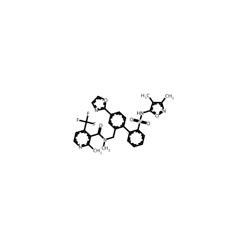 Cc1noc(NS(=O)(=O)c2ccccc2-c2ccc(-c3ncco3)cc2CN(C)C(=O)c2c(C(F)(F)F)ccnc2C)c1C